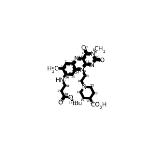 Cc1cc2nc3c(=O)n(C)c(=O)nc-3n(CCN3CCC(C(=O)O)CC3)c2cc1NCCC(=O)OC(C)(C)C